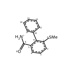 CSc1cccc(C(N)=O)c1-c1ccccc1